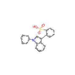 O=S(=O)(O)c1ccccc1-c1cn(-c2ccccc2)c2ccccc12